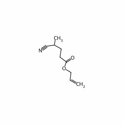 C=CCOC(=O)CCC(C)C#N